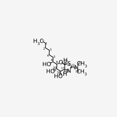 CCCCCC[C@H](O)[C@H]1O[C@@H]2SC(N(C)C)=N[C@@H]2[C@@H](O)[C@@H]1O